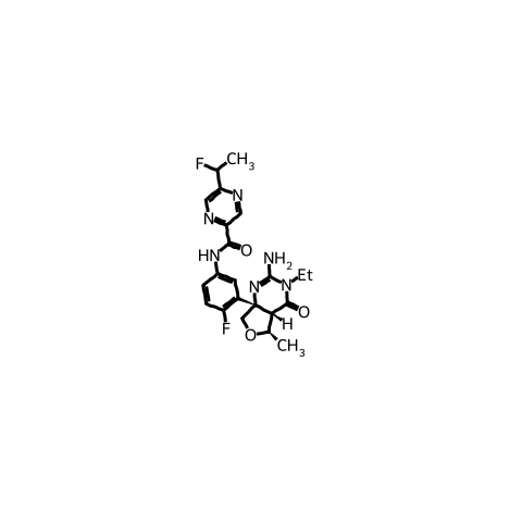 CCN1C(=O)[C@@H]2[C@@H](C)OC[C@]2(c2cc(NC(=O)c3cnc(C(C)F)cn3)ccc2F)N=C1N